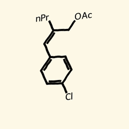 CCCC(=Cc1ccc(Cl)cc1)COC(C)=O